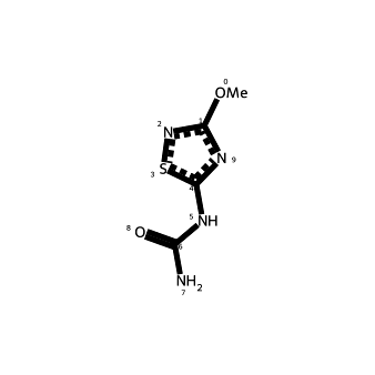 COc1nsc(NC(N)=O)n1